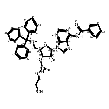 N#CCCO[PH](=S)O[C@H]1[C@@H](F)[C@@H](n2cnc3c(NC(=O)c4ccccc4)ncnc32)O[C@@H]1CNC(c1ccccc1)(c1ccccc1)c1ccccc1